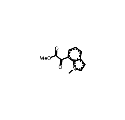 COC(=O)C(=O)c1cccc2ccn(C)c12